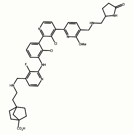 COc1nc(-c2ccnc(-c3cccc(Nc4nccc(CNCCC56CCC(C(=O)O)(CC5)C6)c4F)c3Cl)c2Cl)ccc1CNCC1CCC(=O)N1